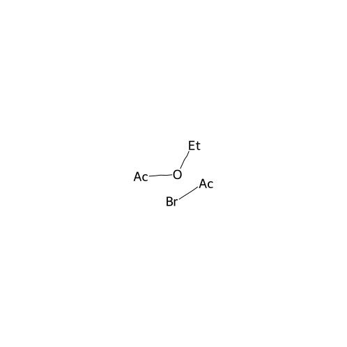 CC(=O)Br.CCOC(C)=O